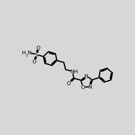 NS(=O)(=O)c1ccc(CCNC(=O)c2nc(-c3ccccc3)no2)cc1